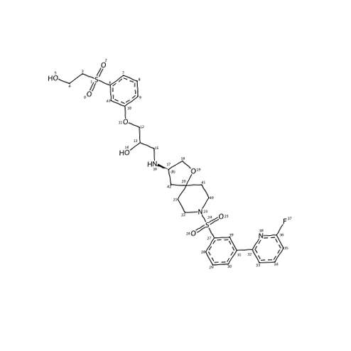 O=S(=O)(CCO)c1cccc(OCC(O)CN[C@H]2COC3(CCN(S(=O)(=O)c4cccc(-c5cccc(F)n5)c4)CC3)C2)c1